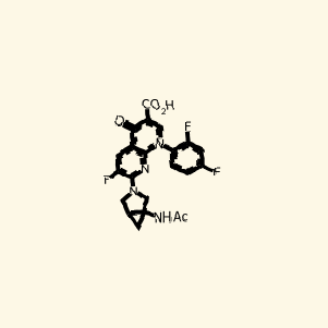 CC(=O)NC12CC1CN(c1nc3c(cc1F)c(=O)c(C(=O)O)cn3-c1ccc(F)cc1F)C2